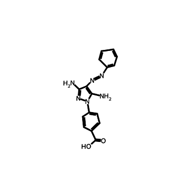 Nc1nn(-c2ccc(C(=O)O)cc2)c(N)c1N=Nc1ccccc1